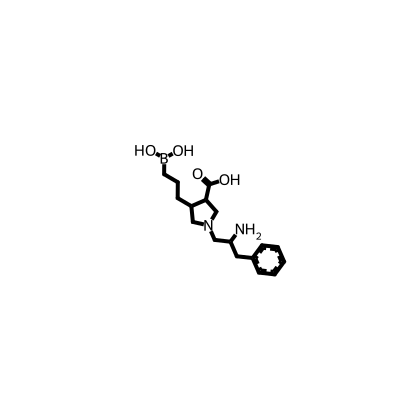 NC(Cc1ccccc1)CN1CC(CCCB(O)O)C(C(=O)O)C1